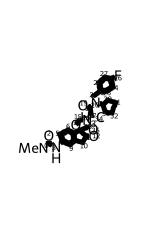 CNC(=O)Nc1ccc2c(c1)CC(=O)C21OCN(CC(=O)N(Cc2ccc(F)cc2)C2CCCC2C)C1=O